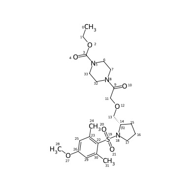 CCOC(=O)N1CCN(C(=O)COC[C@@H]2CCCN2S(=O)(=O)c2c(C)cc(OC)cc2C)CC1